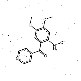 COc1cc([NH2+][O-])c(C(=O)c2ccncc2)cc1OC